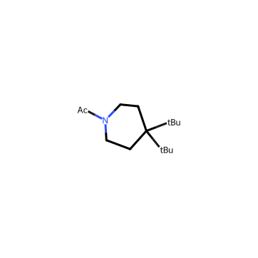 CC(=O)N1CCC(C(C)(C)C)(C(C)(C)C)CC1